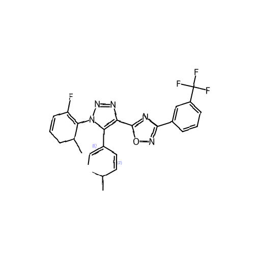 C/C=C(\C=C/C(C)C)c1c(-c2nc(-c3cccc(C(F)(F)F)c3)no2)nnn1C1=C(F)C=CCC1C